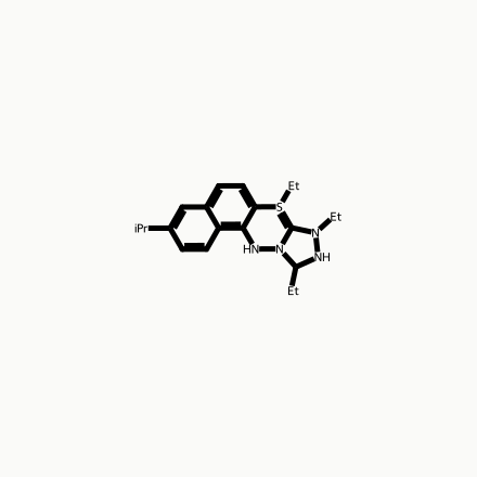 CCC1NN(CC)C2=S(CC)c3ccc4cc(C(C)C)ccc4c3NN21